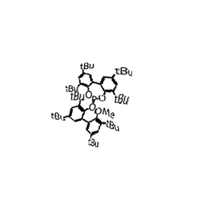 COc1c(-c2cc(C(C)(C)C)cc(C(C)(C)C)c2Op2oc3c(C(C)(C)C)cc(C(C)(C)C)cc3c3cc(C(C)(C)C)cc(C(C)(C)C)c3o2)cc(C(C)(C)C)cc1C(C)(C)C